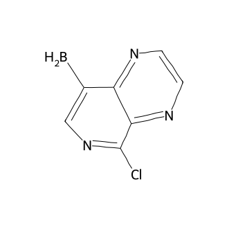 Bc1cnc(Cl)c2nccnc12